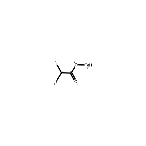 O=C(O[TeH])C(I)I